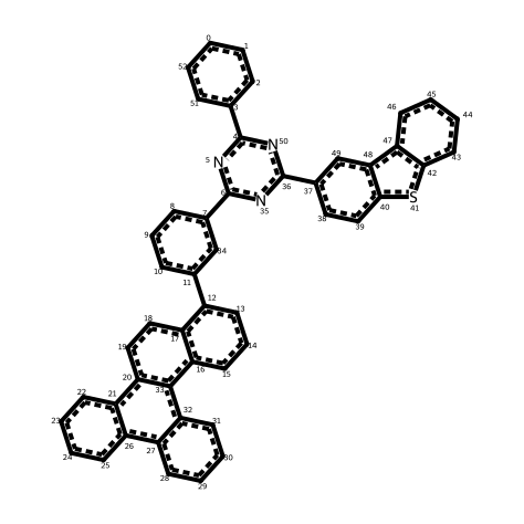 c1ccc(-c2nc(-c3cccc(-c4cccc5c4ccc4c6ccccc6c6ccccc6c54)c3)nc(-c3ccc4sc5ccccc5c4c3)n2)cc1